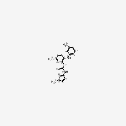 Cc1cncc(Nc2ccc(C)nc2OC(=O)Nc2ccn(C)n2)c1